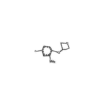 CNc1cc(F)ccc1OC1COC1